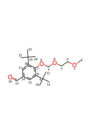 COCCOCOc1c(C(C)(C)C)cc(C=O)cc1C(C)(C)C